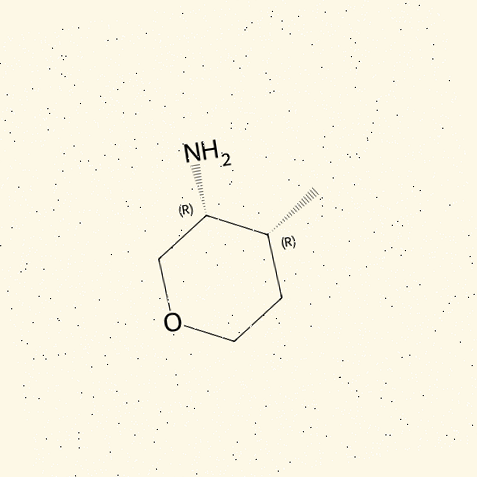 C[C@@H]1CCOC[C@@H]1N